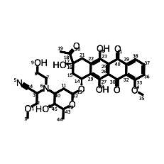 COCC(C#N)N(CCO)C1CC(O[C@H]2C[C@](O)(C(C)=O)Cc3c(O)c4c(c(O)c32)C(=O)c2c(OC)cccc2C4=O)OC(C)C1O